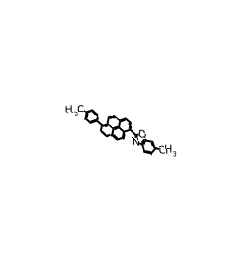 Cc1ccc(-c2ccc3ccc4c(-c5nc6ccc(C)cc6o5)ccc5ccc2c3c54)cc1